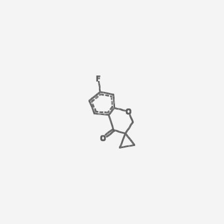 O=C1c2ccc(F)cc2OCC12CC2